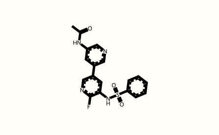 CC(=O)Nc1cncc(-c2cnc(F)c(NS(=O)(=O)c3ccccc3)c2)c1